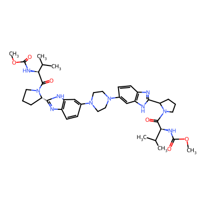 COC(=O)N[C@H](C(=O)N1CCCC1c1nc2ccc(N3CCN(c4ccc5nc([C@@H]6CCCN6C(=O)[C@@H](NC(=O)OC)C(C)C)[nH]c5c4)CC3)cc2[nH]1)C(C)C